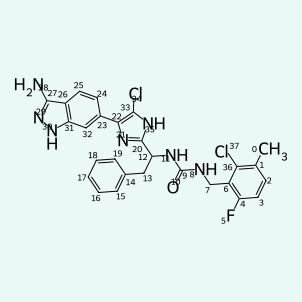 Cc1ccc(F)c(CNC(=O)NC(Cc2ccccc2)c2nc(-c3ccc4c(N)n[nH]c4c3)c(Cl)[nH]2)c1Cl